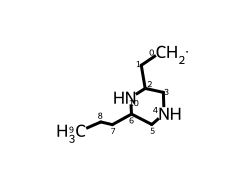 [CH2]CC1CNCC(CCC)N1